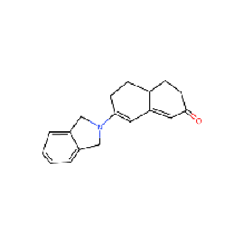 O=C1C=C2C=C(N3Cc4ccccc4C3)CCC2CC1